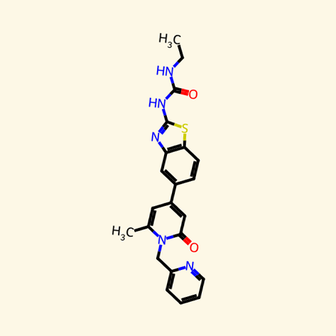 CCNC(=O)Nc1nc2cc(-c3cc(C)n(Cc4ccccn4)c(=O)c3)ccc2s1